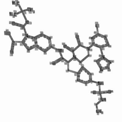 CCNS(=O)(=O)Nc1ccc(CC(C(=O)Nc2ccc3c(c2)cc(C(=O)O)n3C(=O)OC(C)(C)C)N2CCN(c3cc(Cl)ccc3-n3cnnn3)C(=O)C2=O)cc1